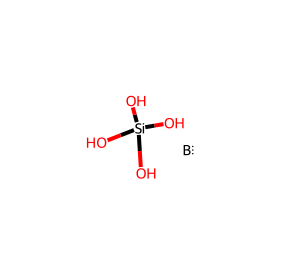 O[Si](O)(O)O.[B]